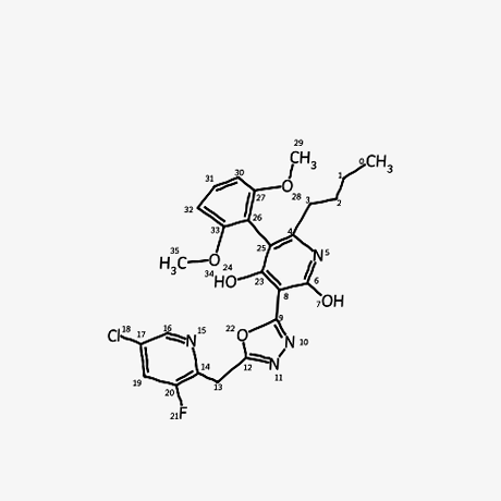 CCCCc1nc(O)c(-c2nnc(Cc3ncc(Cl)cc3F)o2)c(O)c1-c1c(OC)cccc1OC